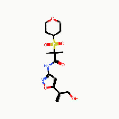 C=C(CO)c1cc(NC(=O)C(C)(C)S(=O)(=O)C2CCOCC2)no1